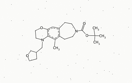 Cc1c2c(cc3c1N(CC1CCOC1)CCO3)CCN(C(=O)OC(C)(C)C)CC2